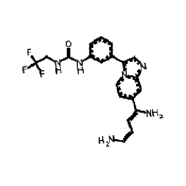 N/C=C\C=C(/N)c1ccn2c(-c3cccc(NC(=O)NCC(F)(F)F)c3)cnc2c1